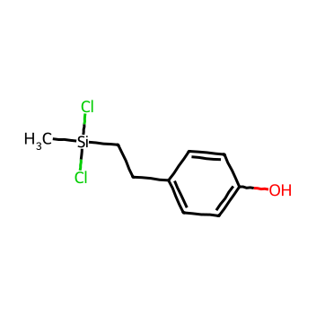 C[Si](Cl)(Cl)CCc1ccc(O)cc1